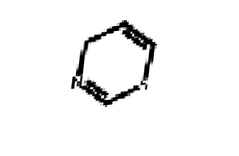 [C]1=NCC=CS1